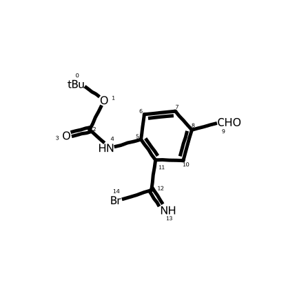 CC(C)(C)OC(=O)Nc1ccc(C=O)cc1C(=N)Br